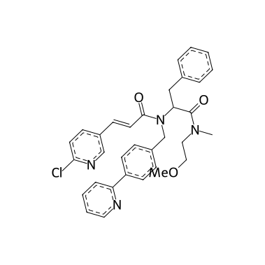 COCCN(C)C(=O)C(Cc1ccccc1)N(Cc1ccc(-c2ccccn2)cc1)C(=O)C=Cc1ccc(Cl)nc1